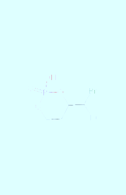 CCC(Br)C1CCOP(=O)(O)O1